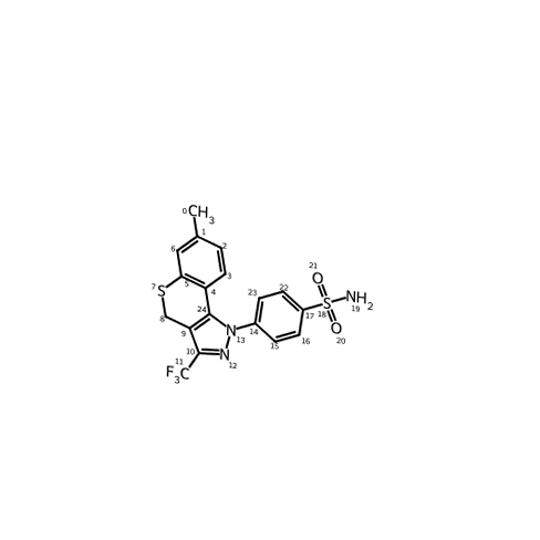 Cc1ccc2c(c1)SCc1c(C(F)(F)F)nn(-c3ccc(S(N)(=O)=O)cc3)c1-2